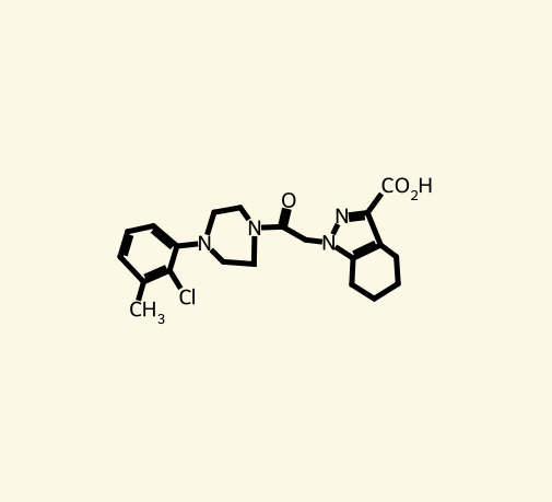 Cc1cccc(N2CCN(C(=O)Cn3nc(C(=O)O)c4c3CCCC4)CC2)c1Cl